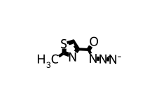 Cc1nc(C(=O)N=[N+]=[N-])cs1